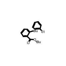 CCC(C)OC(=O)c1ccccc1C(C)CC.CCc1ccccc1